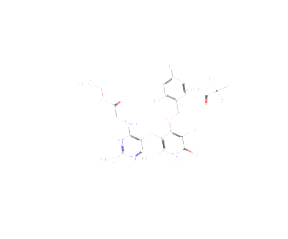 CCOC(=O)CNc1nc(C)ncc1Cc1c(C)[nH]c(=O)c(Br)c1OCc1ccc(F)cc1F.O=C(O)C(F)(F)F